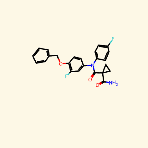 NC(=O)C1(C(=O)N(c2ccc(F)cc2)c2ccc(OCc3ccccc3)c(F)c2)CC1